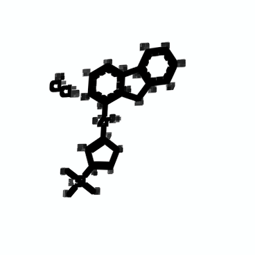 C[Si](C)(C)C1=CC[C]([Zr+2][c]2cccc3c2Cc2ccccc2-3)=C1.[Cl-].[Cl-]